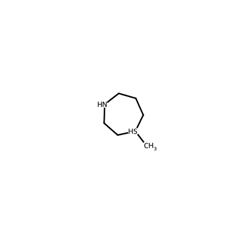 C[SH]1CCCNCC1